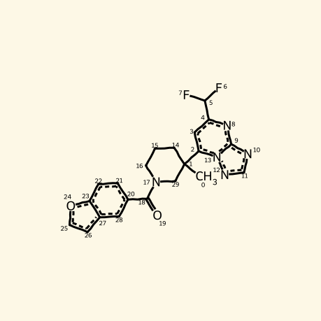 CC1(c2cc(C(F)F)nc3ncnn23)CCCN(C(=O)c2ccc3occc3c2)C1